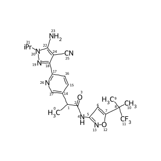 CC(C(=O)Nc1cc(C(C)(C)C(F)(F)F)on1)c1ccc(-c2nn(C(C)C)c(N)c2C#N)nc1